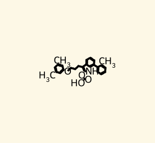 Cc1cc(C)cc(OCCCc2c(OC(=O)O)[nH]c3c(-c4ccccc4C)cccc23)c1